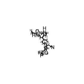 N#CCC1(N2CC=C(c3cc(NC(=O)C4CC4)nc4[nH]ccc34)CC2)CN(C(=O)CC(F)(F)F)C1